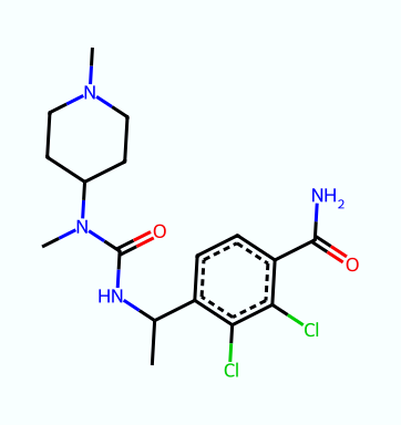 CC(NC(=O)N(C)C1CCN(C)CC1)c1ccc(C(N)=O)c(Cl)c1Cl